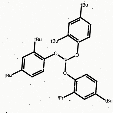 CC(C)c1cc(C(C)(C)C)ccc1OP(Oc1ccc(C(C)(C)C)cc1C(C)(C)C)Oc1ccc(C(C)(C)C)cc1C(C)(C)C